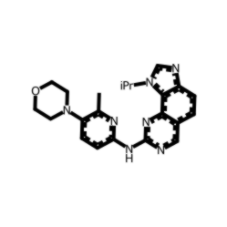 Cc1nc(Nc2ncc3ccc4ncn(C(C)C)c4c3n2)ccc1N1CCOCC1